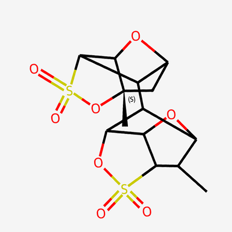 CC1C2OC3C(OS(=O)(=O)C13)C2C1C2C[C@]3(C)OS(=O)(=O)C1C3O2